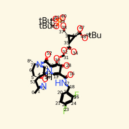 CC1=NO[C@@]2(CC[C@H](C)N3C[C@H]2n2cc(C(=O)NCc4ccc(F)cc4F)c(=O)c(OCOC(=O)[C@@H]4[C@H](COP(=O)(OC(C)(C)C)OC(C)(C)C)[C@H]4C(=O)OC(C)(C)C)c2C3=O)C1